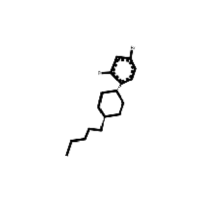 CCCCC[C@H]1CC[C@H](c2ccc(Br)cc2F)CC1